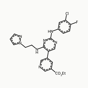 CCOC(=O)c1cncc(-c2cnc(Nc3ccc(F)c(Cl)c3)nc2NCCn2cccn2)c1